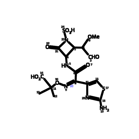 COC(C=O)C1C(NC(=O)/C(=N\OC(C)(C)C(=O)O)c2csc(N)n2)C(=O)N1S(=O)(=O)O